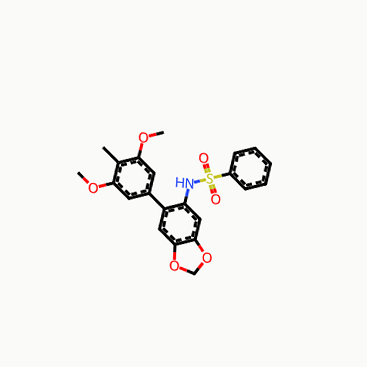 COc1cc(-c2cc3c(cc2NS(=O)(=O)c2ccccc2)OCO3)cc(OC)c1C